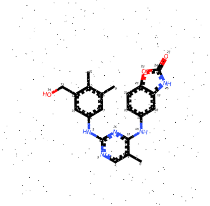 Cc1cnc(Nc2cc(C)c(C)c(CO)c2)nc1Nc1ccc2oc(=O)[nH]c2c1